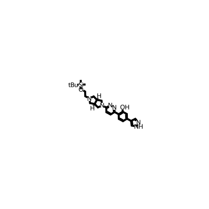 CC(C)(C)[Si](C)(C)OCCN1C[C@@H]2CN(c3ccc(-c4ccc(-c5cn[nH]c5)cc4O)nn3)C[C@@H]2C1